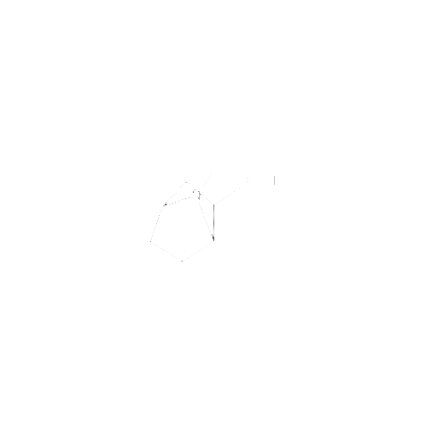 CN1C2CCC1C(C(=O)O)C2